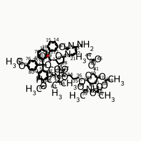 COc1ccc(C(OC(C(=O)c2ccccc2)[C@H]2O[C@@H](n3ccc(N)nc3=O)C[C@@H]2OP(=O)(OCCCO[C@@H]2O[C@H](COC(C)=O)[C@@H](OC(C)=O)[C@H](OC(C)=O)[C@H]2NC(C)=O)N(C(C)C)C(C)C)(c2ccccc2)c2ccc(OC)cc2)cc1